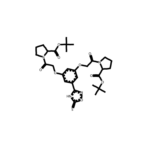 CC(C)(C)OC(=O)C1CCCN1C(=O)COc1cc(OCC(=O)N2CCCC2C(=O)OC(C)(C)C)cc(-c2noc(=S)[nH]2)c1